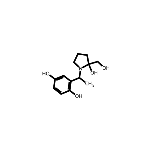 CC(c1cc(O)ccc1O)N1CCCC1(O)CO